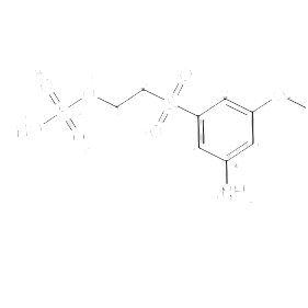 COc1cc(N)cc(S(=O)(=O)CCOS(=O)(=O)O)c1